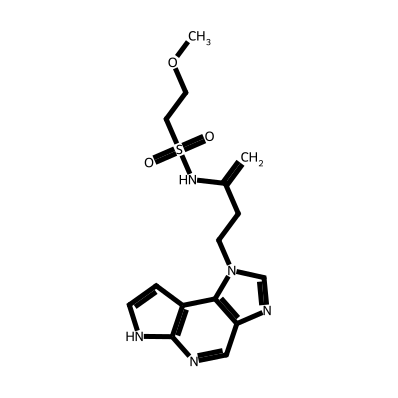 C=C(CCn1cnc2cnc3[nH]ccc3c21)NS(=O)(=O)CCOC